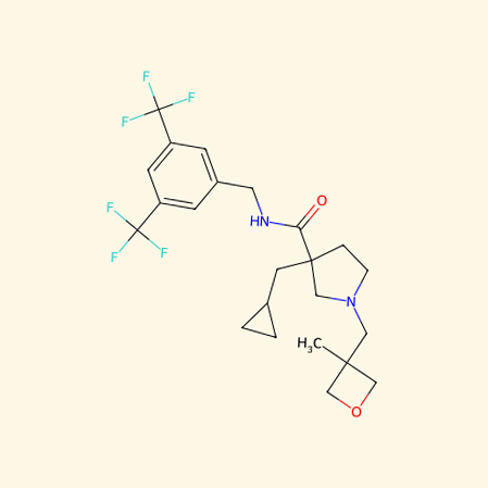 CC1(CN2CCC(CC3CC3)(C(=O)NCc3cc(C(F)(F)F)cc(C(F)(F)F)c3)C2)COC1